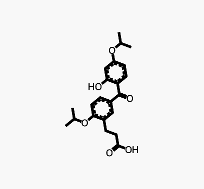 CC(C)Oc1ccc(C(=O)c2ccc(OC(C)C)c(CCC(=O)O)c2)c(O)c1